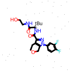 CC(C)(C)[C@H](NC(=O)c1nn(-c2ccc(F)c(F)c2)c2c1CCOC2)C(=O)NCCO